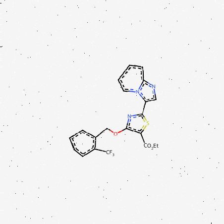 CCOC(=O)c1sc(-c2cnc3ccccn23)nc1OCc1ccccc1C(F)(F)F